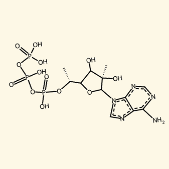 C[C@@H](OP(=O)(O)OP(=O)(O)OP(=O)(O)O)C1OC(n2cnc3c(N)ncnc32)[C@](C)(O)C1O